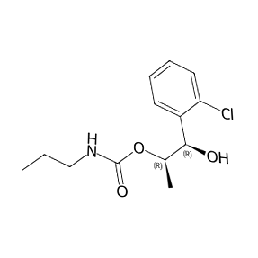 CCCNC(=O)O[C@H](C)[C@H](O)c1ccccc1Cl